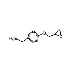 [SiH3]Cc1ccc(OCC2CO2)cc1